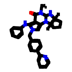 CN1C(=O)c2c(cn(Cc3ccc(-c4ccccn4)cc3)c2Nc2ccccc2)N2C1N[C@@H]1CCC[C@@H]12